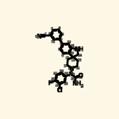 N#Cc1cccc(-c2ccc3c(c2)NCC32CCN(N(C(N)=O)c3ccc(F)c(Cl)c3)CC2)c1